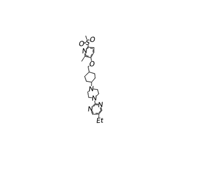 CCc1cnc(N2CCN(C3CCC(COc4ccc(S(C)(=O)=O)nc4C)CC3)CC2)nc1